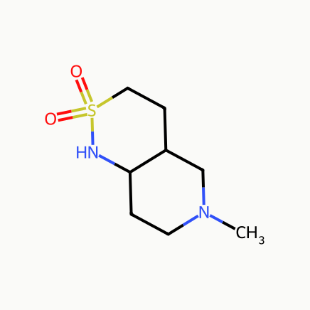 CN1CCC2NS(=O)(=O)CCC2C1